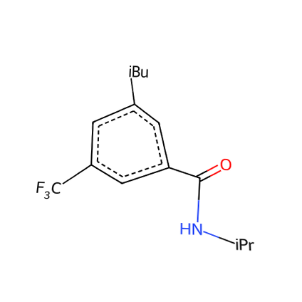 CCC(C)c1cc(C(=O)NC(C)C)cc(C(F)(F)F)c1